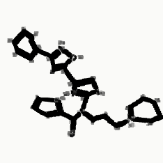 O=C(c1cccs1)N(CCCN1CCCCC1)c1nc(-c2cc(-c3ccccc3)no2)cs1